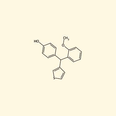 COc1ccccc1C(c1ccc(O)cc1)c1ccsc1